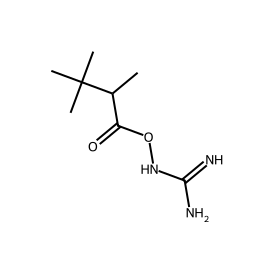 CC(C(=O)ONC(=N)N)C(C)(C)C